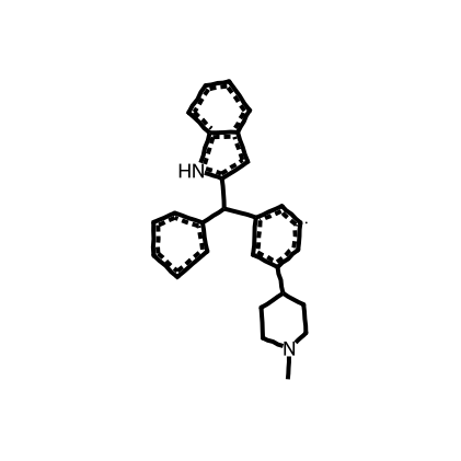 CN1CCC(c2c[c]cc(C(c3ccccc3)c3cc4ccccc4[nH]3)c2)CC1